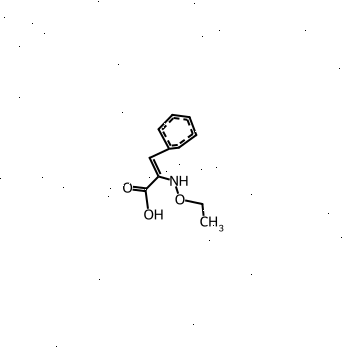 CCON/C(=C\c1ccccc1)C(=O)O